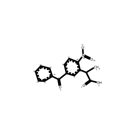 CC(C(=O)O)c1cc(C(=O)c2ccccc2)ccc1[N+](=O)[O-]